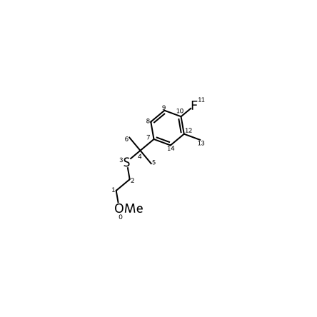 COCCSC(C)(C)c1ccc(F)c(C)c1